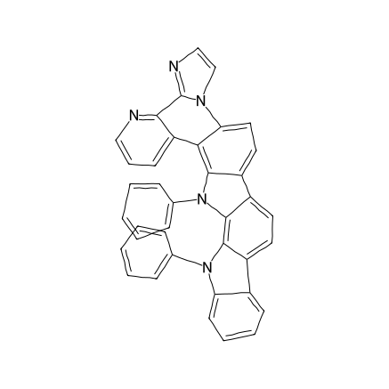 c1ccc(-n2c3ccccc3c3ccc4c5ccc6c(c7cccnc7c7nccn67)c5n(-c5ccccc5)c4c32)cc1